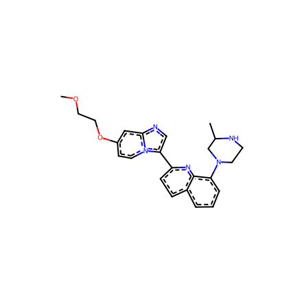 COCCOc1ccn2c(-c3ccc4cccc(N5CCNC(C)C5)c4n3)cnc2c1